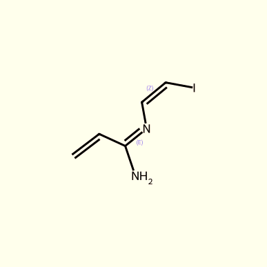 C=C/C(N)=N\C=C/I